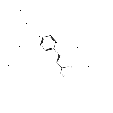 COC(Br)C=Cc1ccccc1